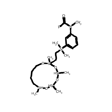 CN(C(=O)F)c1cccc([Si](C)(C)CC[Si]2(C)OCCCC[SiH](C)O[SiH](C)O[SiH](C)O2)c1